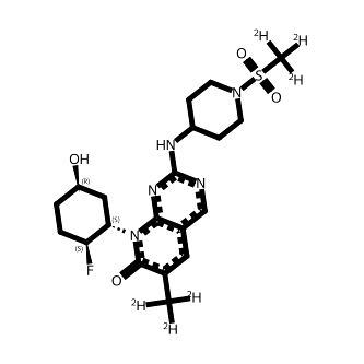 [2H]C([2H])([2H])c1cc2cnc(NC3CCN(S(=O)(=O)C([2H])([2H])[2H])CC3)nc2n([C@H]2C[C@H](O)CC[C@@H]2F)c1=O